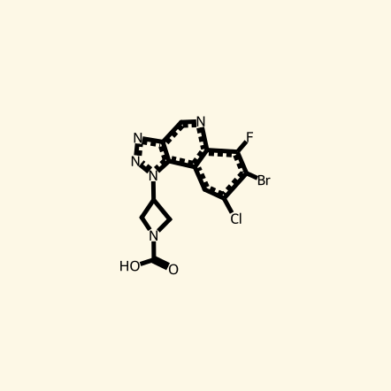 O=C(O)N1CC(n2nnc3cnc4c(F)c(Br)c(Cl)cc4c32)C1